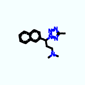 Cc1nnn(C(CCN(C)C)c2ccc3ccccc3c2)n1